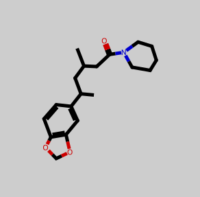 CC(CC(=O)N1CCCCC1)CC(C)c1ccc2c(c1)OCO2